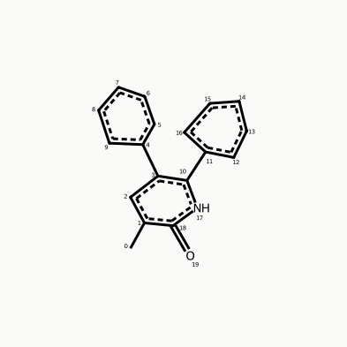 Cc1cc(-c2ccccc2)c(-c2ccccc2)[nH]c1=O